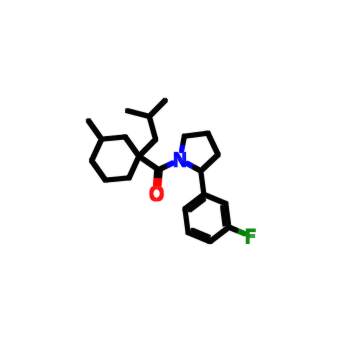 CC(C)CC1(C(=O)N2CCCC2c2cccc(F)c2)CCCC(C)C1